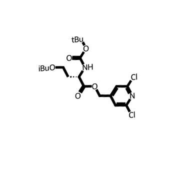 CC(C)COCC[C@H](NC(=O)OC(C)(C)C)C(=O)OCc1cc(Cl)nc(Cl)c1